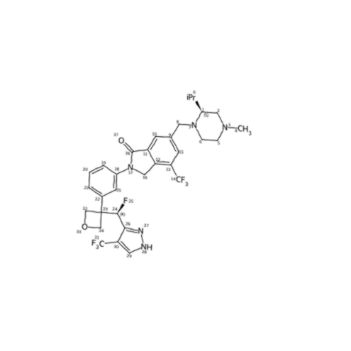 CC(C)[C@H]1CN(C)CCN1Cc1cc2c(c(C(F)(F)F)c1)CN(c1cccc(C3([C@@H](F)c4n[nH]cc4C(F)(F)F)COC3)c1)C2=O